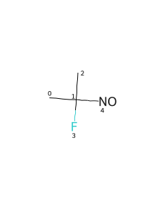 CC(C)(F)N=O